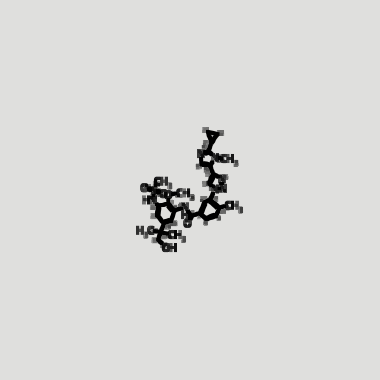 COc1c(NC(=O)c2ccc(C)c(-n3cc(-c4cnc(C5CC5)n4C)nn3)c2)cc(C(C)(C)CO)cc1NS(C)(=O)=O